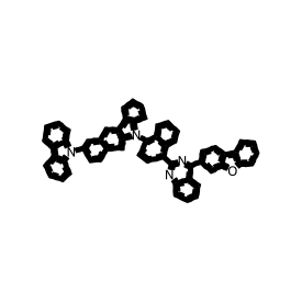 c1ccc2c(-c3ccc4c(c3)oc3ccccc34)nc(-c3ccc(-n4c5ccccc5c5cc6cc(-n7c8ccccc8c8ccccc87)ccc6cc54)c4ccccc34)nc2c1